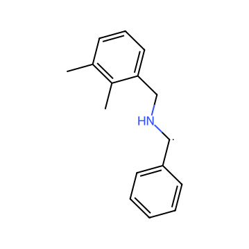 Cc1cccc(CN[CH]c2ccccc2)c1C